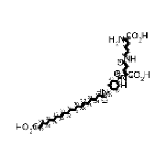 N[C@@H](CCCCNC(=O)CC[C@H](NC(=O)[C@H]1CC[C@H](CNC(=O)CCCCCCCCCCCCCCCCCCC(=O)O)CC1)C(=O)O)C(=O)O